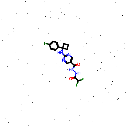 O=C(NNC(=O)C(F)F)c1cnc(NC2(c3ccc(F)cc3)CCC2)nc1